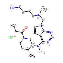 C[C@@H]1CCN(C(=O)CC#N)C[C@@H]1N(C)c1ncnc2c1ccn2CN(CCCCN)C(=O)O.Cl